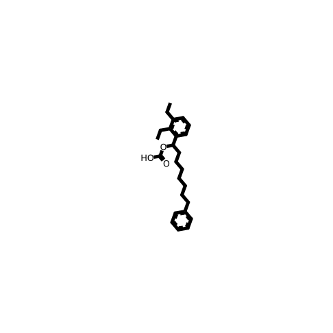 CCc1cccc(C(CCCCCCCc2ccccc2)OC(=O)O)c1CC